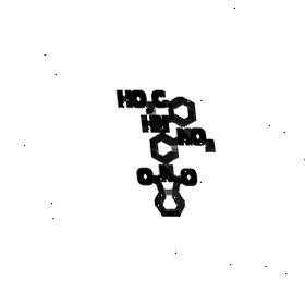 O=C(O)c1ccccc1Nc1ccc(N2C(=O)c3ccccc3C2=O)cc1[N+](=O)[O-]